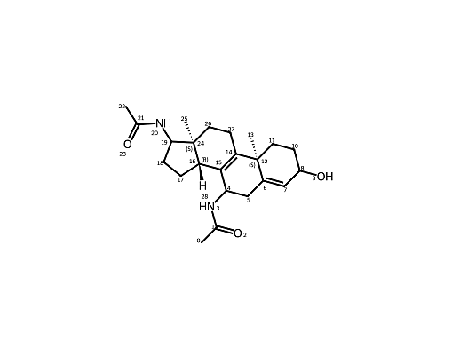 CC(=O)NC1CC2=CC(O)CC[C@]2(C)C2=C1[C@@H]1CCC(NC(C)=O)[C@@]1(C)CC2